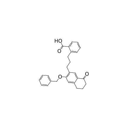 O=C(O)c1ccccc1CCCc1cc2c(cc1OCc1ccccc1)CCCC2=O